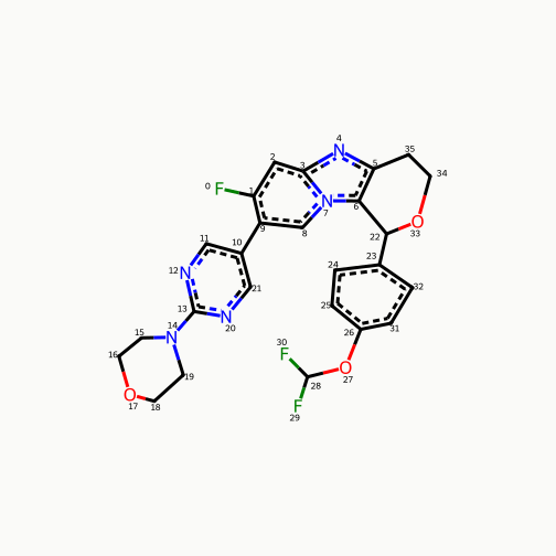 Fc1cc2nc3c(n2cc1-c1cnc(N2CCOCC2)nc1)C(c1ccc(OC(F)F)cc1)OCC3